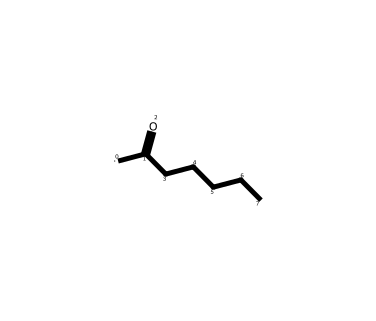 [CH2]C(=O)CCCCC